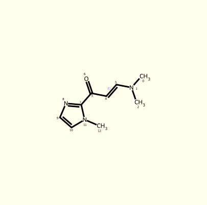 CN(C)/C=C/C(=O)c1nccn1C